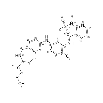 CC(CCO)C1CCc2cc(Nc3ncc(Cl)c(NCc4nccnc4N(C)S(C)(=O)=O)n3)ccc2CN1